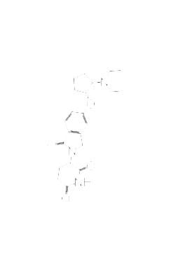 CCN(CC)[C@@H]1CCC[C@@H]1Oc1ccc2c(c1)CN(C1CCC(=O)NC1=O)C2=O